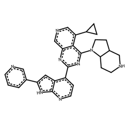 c1cncc(-c2cc3c(-c4nc(N5CCC6CNCCC65)c5c(C6CC6)cncc5n4)ccnc3[nH]2)c1